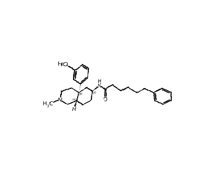 CN1CC[C@@]2(c3cccc(O)c3)C[C@@H](NC(=O)CCCCCc3ccccc3)CC[C@@H]2C1